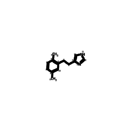 Cc1ccc(C)c(CCc2c[nH]cn2)c1